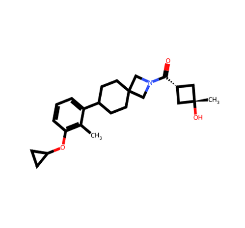 Cc1c(OC2CC2)cccc1C1CCC2(CC1)CN(C(=O)[C@H]1C[C@@](C)(O)C1)C2